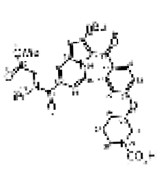 CCCCc1cc2cc(C(=O)N(CC(=O)OC)C(C)C)ccn2c1C(=O)c1ccc(O[C@@H]2CCCN(C(=O)O)C2)cc1